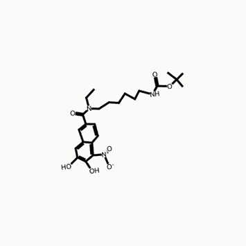 CCN(CCCCCCNC(=O)OC(C)(C)C)C(=O)c1ccc2c([N+](=O)[O-])c(O)c(O)cc2c1